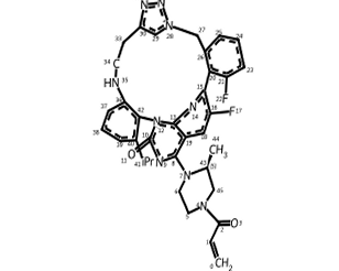 C=CC(=O)N1CCN(c2nc(=O)n3c4nc(c(F)cc24)-c2c(F)cccc2Cn2cc(nn2)CCNc2cccc(C(C)C)c2-3)[C@@H](C)C1